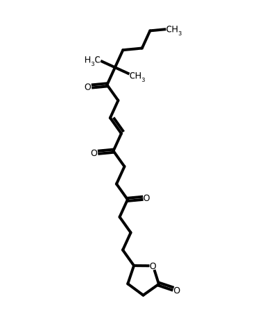 CCCCC(C)(C)C(=O)CC=CC(=O)CCC(=O)CCCC1CCC(=O)O1